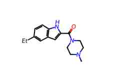 CCc1ccc2[nH]c(C(=O)N3CCN(C)CC3)cc2c1